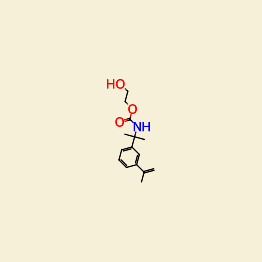 C=C(C)c1cccc(C(C)(C)NC(=O)OCCO)c1